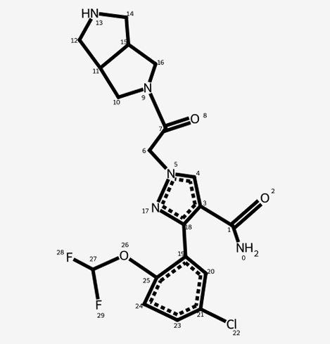 NC(=O)c1cn(CC(=O)N2CC3CNCC3C2)nc1-c1cc(Cl)ccc1OC(F)F